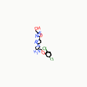 NC1(COc2cc(Cl)ccc2Cl)CCN(c2ccc(-c3nc(CO)no3)nn2)C1